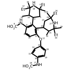 CCC1(C)CC(c2c(NC(=O)O)ccc(Oc3ccc(NC(=O)O)cc3)c2C2CC(C)(CC)NC(C)(CC)C2C)C(C)C(C)(CC)N1